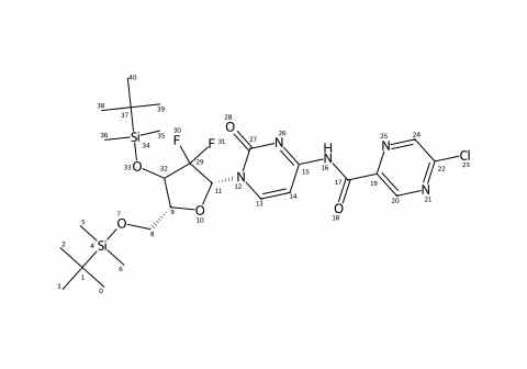 CC(C)(C)[Si](C)(C)OC[C@H]1O[C@@H](n2ccc(NC(=O)c3cnc(Cl)cn3)nc2=O)C(F)(F)C1O[Si](C)(C)C(C)(C)C